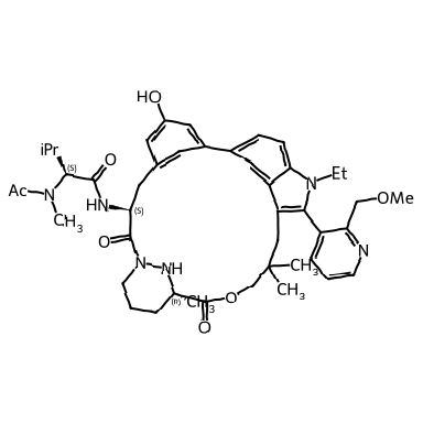 CCn1c(-c2cccnc2COC)c2c3cc(ccc31)-c1cc(O)cc(c1)C[C@H](NC(=O)[C@H](C(C)C)N(C)C(C)=O)C(=O)N1CCC[C@@](C)(N1)C(=O)OCC(C)(C)C2